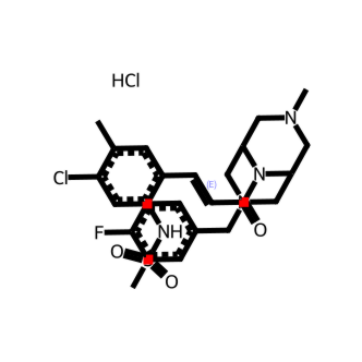 Cc1cc(/C=C/C(=O)N2C3CN(C)CC2CN(Cc2ccc(F)cc2)C3)c(NS(C)(=O)=O)cc1Cl.Cl